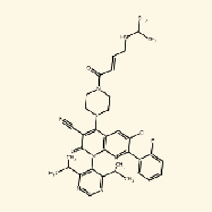 CC(C)NCC=CC(=O)N1CCN(c2c(C#N)c(=O)n(-c3c(C(C)C)ncnc3C(C)C)c3nc(-c4ccccc4F)c(Cl)cc23)CC1